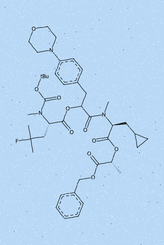 C[C@@H](OC(=O)[C@H](CC1CC1)N(C)C(=O)C(Cc1ccc(N2CCOCC2)cc1)OC(=O)[C@H](CC(C)(C)F)N(C)C(=O)OC(C)(C)C)C(=O)OCc1ccccc1